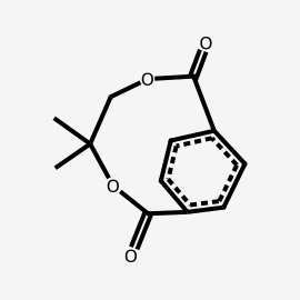 CC1(C)COC(=O)c2ccc(cc2)C(=O)O1